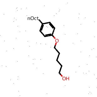 CCCCCCCCc1ccc(OCCCCCO)cc1